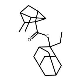 CCC1(OC(=O)C23C(C)C4CC2C3C4C)C2CC3CC(C2)CC1C3